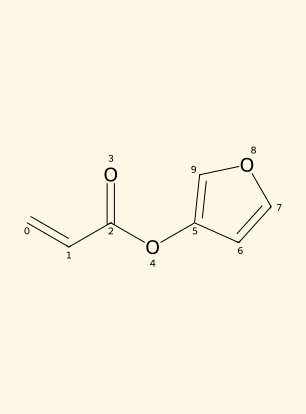 C=CC(=O)Oc1ccoc1